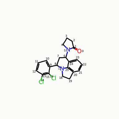 O=C1CCCN1C1CC(c2cccc(Cl)c2Cl)N2CCc3cccc1c32